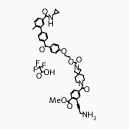 COC(=O)c1ccc(C(=O)N2CCC3(CC2)CN(C(=O)OCCOc2ccc(C(=O)c4ccc(-c5cc(C(=O)NC6CC6)ccc5C)cc4)cc2)C3)cc1C#CCN.O=C(O)C(F)(F)F